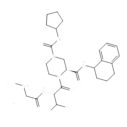 CN[C@@H](C)C(=O)N[C@H](C(=O)N1CCN(C(=O)NC2CCCC2)C[C@H]1C(=O)NC1CCCc2ccccc21)C(C)C